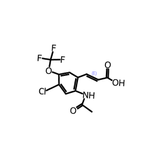 CC(=O)Nc1cc(Cl)c(OC(F)(F)F)cc1/C=C/C(=O)O